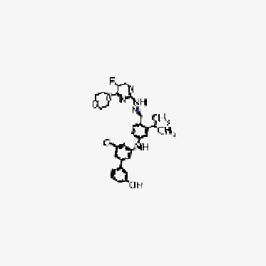 CC(C)c1cc(Nc2cc(Cl)cc(-c3cccc(O)c3)c2)ccc1/C=N/NC1=NCC(F)C(N2CCOCC2)=N1